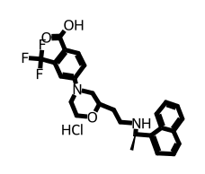 C[C@@H](NCCC1CN(c2ccc(C(=O)O)c(C(F)(F)F)c2)CCO1)c1cccc2ccccc12.Cl